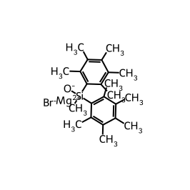 Cc1c(C)c(C)c([Si](C)([O-])c2c(C)c(C)c(C)c(C)c2C)c(C)c1C.[Br-].[Mg+2]